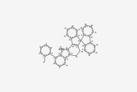 Cc1ccccc1-c1cccc2c3c([nH]c12)C1=C(CC3)C2(c3ccccc31)c1ccccc1-c1ccccc12